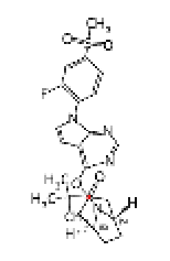 CC(C)(C)C(=O)N1[C@H]2CC[C@H]1CC(Oc1ncnc3c1ccn3-c1ccc(S(C)(=O)=O)cc1F)C2